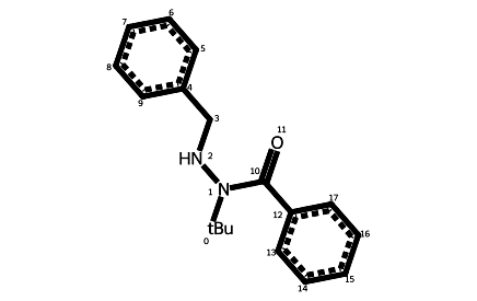 CC(C)(C)N(NCc1ccccc1)C(=O)c1ccccc1